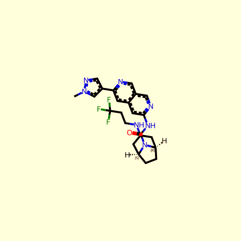 Cn1cc(-c2cc3cc(NC(=O)N4[C@@H]5CC[C@H]4CC(NCCC(F)(F)F)C5)ncc3cn2)cn1